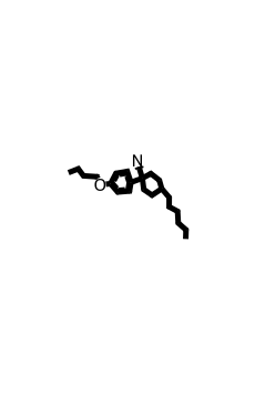 CCCCCCC1CCC(C#N)(c2ccc(OCCCC)cc2)CC1